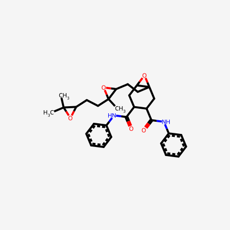 CC1(C)OC1CCC1(C)OC1CCC12CC(C(=O)Nc3ccccc3)C(C(=O)Nc3ccccc3)CC1O2